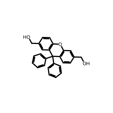 OCc1ccc2c(c1)Oc1ccc(CO)cc1C2(c1ccccc1)c1ccccc1